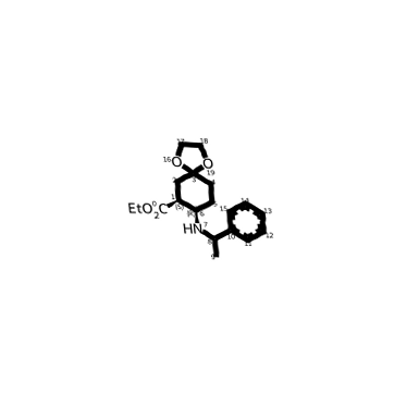 CCOC(=O)[C@H]1CC2(CC[C@H]1NC(C)c1ccccc1)OCCO2